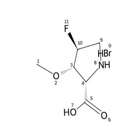 Br.CO[C@H]1[C@@H](C(=O)O)NC[C@@H]1F